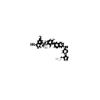 COC1CCCC1N1CCC(Nc2ncc3cc(-c4c(F)ccc(NS(=O)(=O)c5cc(Cl)cc6c5CCC6O)c4F)ccc3n2)CC1